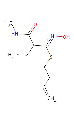 C=CCCS/C(=N\O)C(CC)C(=O)NC